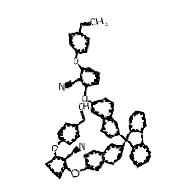 C=Cc1ccc(Oc2cccc(Oc3ccc4cc(C5(c6ccc7cc(Oc8cccc(Oc9ccc(C=C)cc9)c8C#N)ccc7c6)c6ccccc6-c6ccccc65)ccc4c3)c2C#N)cc1